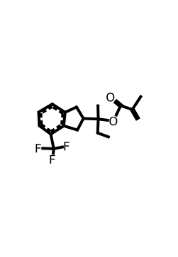 C=C(C)C(=O)OC(C)(CC)C1Cc2cccc(C(F)(F)F)c2C1